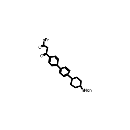 CCCCCCCCCC1CCC(c2ccc(-c3ccc(C(=O)CC(=O)CCC)cc3)cc2)CC1